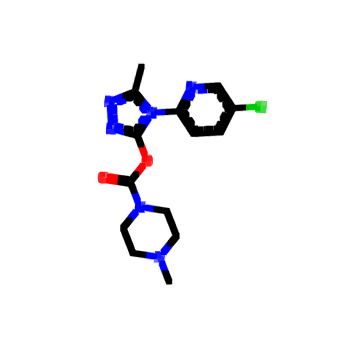 Cc1nnc(OC(=O)N2CCN(C)CC2)n1-c1ccc(Cl)cn1